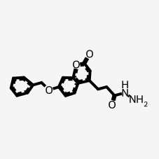 NNC(=O)CCc1cc(=O)oc2cc(OCc3ccccc3)ccc12